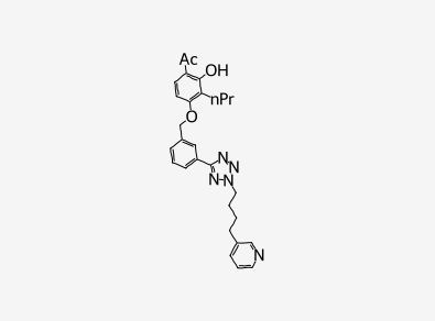 CCCc1c(OCc2cccc(-c3nnn(CCCCc4cccnc4)n3)c2)ccc(C(C)=O)c1O